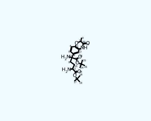 CC1Oc2ccc(C(N)(CCC(N)C(=O)OC(C)(C)C)C(=O)OC(C)(C)C)cc2NC1=O